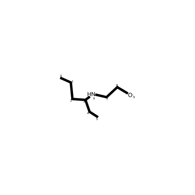 CCCC(CC)NCC[O]